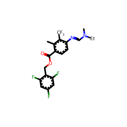 CCN(C)/C=N/c1ccc(C(=O)OCc2c(F)cc(F)cc2F)c(C)c1C(F)(F)F